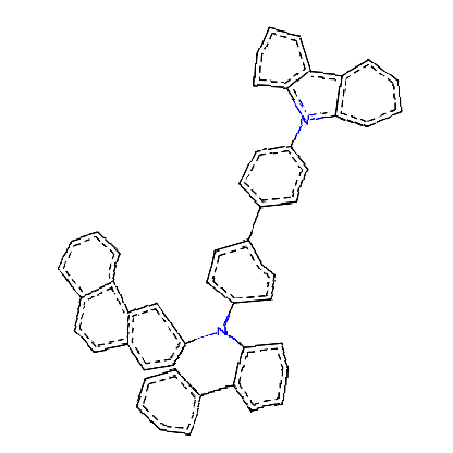 c1ccc(-c2ccccc2N(c2ccc(-c3ccc(-n4c5ccccc5c5ccccc54)cc3)cc2)c2ccc3ccc4ccccc4c3c2)cc1